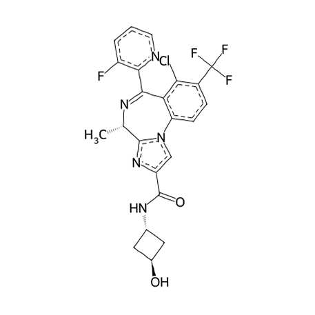 C[C@@H]1N=C(c2ncccc2F)c2c(ccc(C(F)(F)F)c2Cl)-n2cc(C(=O)N[C@H]3C[C@H](O)C3)nc21